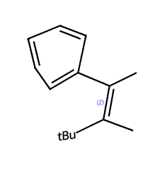 C/C(=C(\C)C(C)(C)C)c1ccccc1